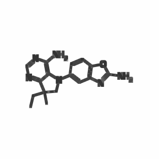 CCC1(C)CN(c2ccc3oc(N)nc3c2)c2c(N)ncnc21